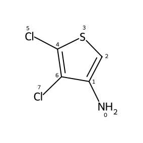 Nc1csc(Cl)c1Cl